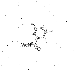 CNC(=O)c1cc(C)[c]c(C)c1